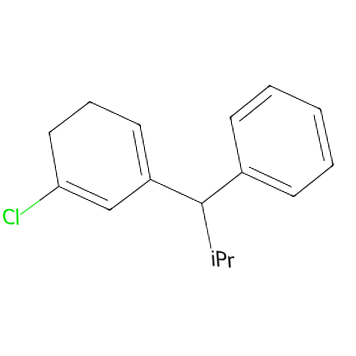 CC(C)C(C1=CCCC(Cl)=C1)c1ccccc1